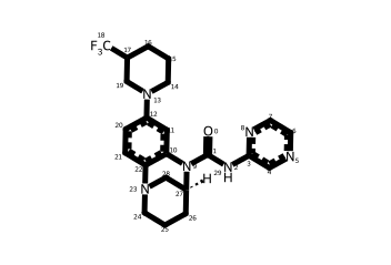 O=C(Nc1cnccn1)N1c2cc(N3CCCC(C(F)(F)F)C3)ccc2N2CCC[C@H]1C2